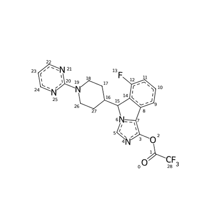 O=C(Oc1ncn2c1-c1cccc(F)c1C2C1CCN(c2ncccn2)CC1)C(F)(F)F